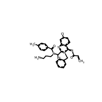 C=CC(=O)N=c1c2ccc(Cl)cc2nc(C(C(C)C)N(CCCN)C(=O)c2ccc(C)cc2)n1Cc1ccccc1